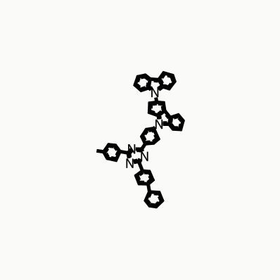 Cc1ccc(-c2nc(-c3ccc(-c4ccccc4)cc3)nc(-c3ccc(-n4c5ccccc5c5cc(-n6c7ccccc7c7ccccc76)ccc54)cc3)n2)cc1